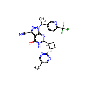 Cc1cnc([C@H]2CC[C@@H]2c2nc3c(c(C#N)nn3C(C)c3ccc(C(F)(F)F)nc3)c(=O)[nH]2)nc1